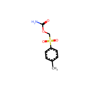 Cc1ccc(S(=O)(=O)COC(N)=O)cc1